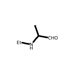 [CH2]C(C=O)NCC